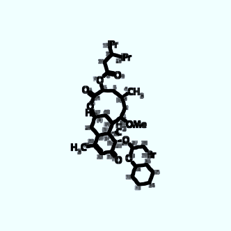 COC1C[C@H](C)CC(OC(=O)CC(C(C)C)C(C)C)C(=O)O[C@@H]2CC3C(C)=CC(=O)[C@@H](OC(CBr)OC4CCCCC4)[C@]3(C)C1C2